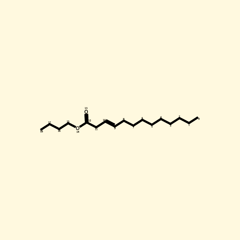 CCCCCCCCCC=CCC(=O)OCCCC